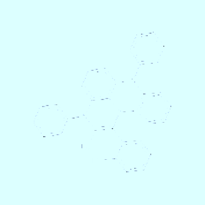 CC1=C(c2ccccc2C)B2c3ccccc3N(c3ccccc3)c3cccc(c32)N1c1ccccc1